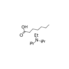 CCCCCCC(=O)O.CCN(C(C)C)C(C)C